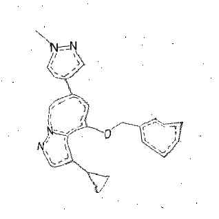 Cn1cc(-c2cc(OCc3ccccc3)c3c(C4CC4)cnn3c2)cn1